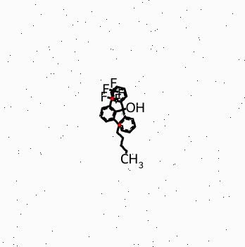 CCCCCCc1cccc(C(F)(F)C(F)(F)F)c1C(O)(c1ccccc1)c1ccccc1